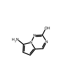 Nc1ccc2cnc(O)nn12